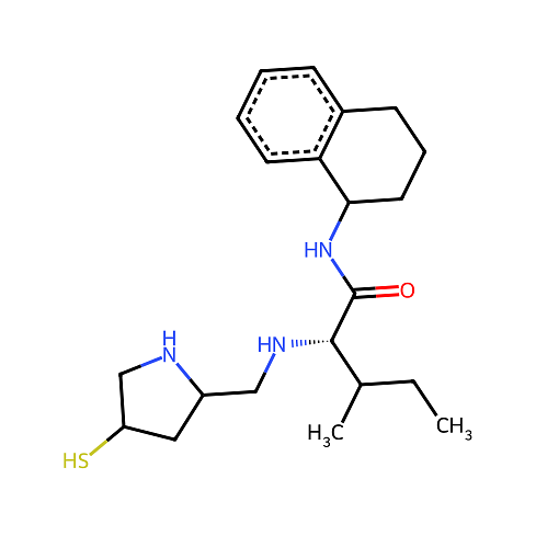 CCC(C)[C@H](NCC1CC(S)CN1)C(=O)NC1CCCc2ccccc21